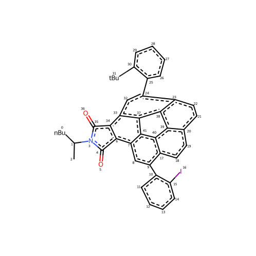 CCCCC(C)n1c(=O)c2c3cc(-c4ccccc4I)c4ccc5ccc6c(-c7ccccc7C(C)(C)C)cc(c2c1=O)c1c6c5c4c31